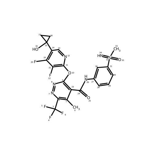 Cc1c(C(F)(F)F)nnc(Oc2ncc(C3(O)CC3)c(F)c2F)c1C(=O)Nc1cccc(S(C)(=N)=O)c1